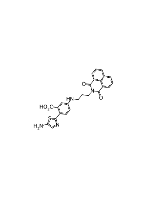 Nc1cnc(-c2ccc(NCCCN3C(=O)c4cccc5cccc(c45)C3=O)cc2C(=O)O)s1